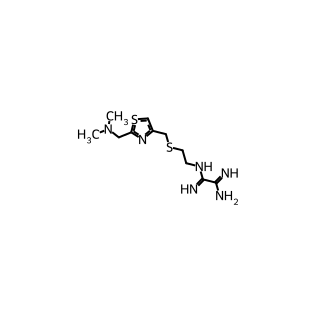 CN(C)Cc1nc(CSCCNC(=N)C(=N)N)cs1